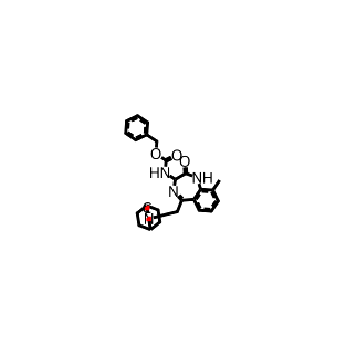 Cc1cccc2c1NC(=O)C(NC(=O)OCc1ccccc1)N=C2CN1CC2CCC(CC2)C1